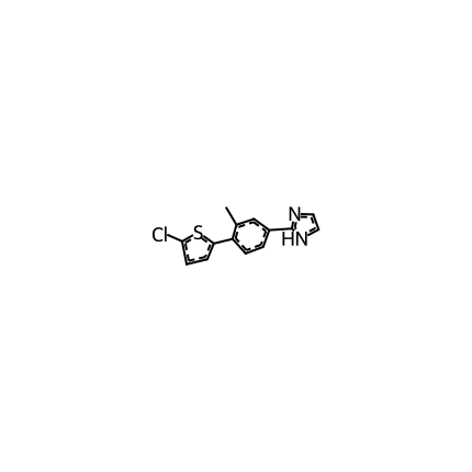 Cc1cc(-c2ncc[nH]2)ccc1-c1ccc(Cl)s1